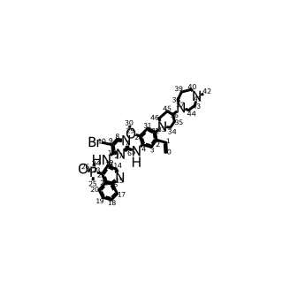 C=Cc1cc(Nc2ncc(Br)c(Nc3cnc4ccccc4c3P(C)(C)=O)n2)c(OC)cc1N1CCC(N2CCCN(C)CC2)CC1